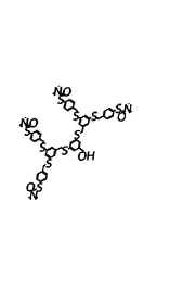 CN(C)C(=O)Sc1ccc(CSc2cc(CSc3cc(CO)cc(SCc4cc(SCc5ccc(SC(=O)N(C)C)cc5)cc(SCc5ccc(SC(=O)N(C)C)cc5)c4)c3)cc(SCc3ccc(SC(=O)N(C)C)cc3)c2)cc1